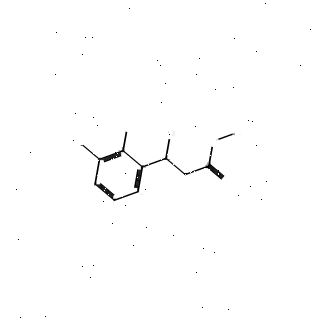 CCCOC(=O)CC(N)c1cccc(Cl)c1Cl